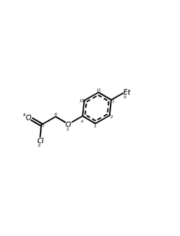 CCc1ccc(OCC(=O)Cl)cc1